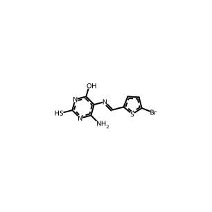 Nc1nc(S)nc(O)c1N=Cc1ccc(Br)s1